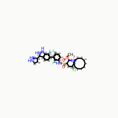 COC1NC2(CCCCCCCCC2)C(Cl)CC1S(=O)(=O)Nc1ccc(F)c(-c2ccc3c(c2F)NNC3C2CCNN2)c1F